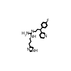 NC(=NCCC(c1ccc(F)cc1)c1cccnc1)NCCCc1c[nH]cn1